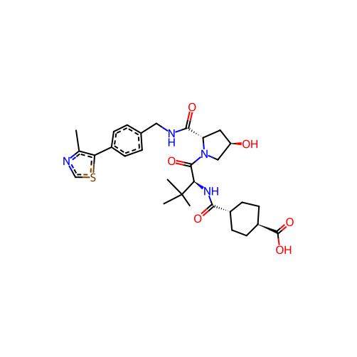 Cc1ncsc1-c1ccc(CNC(=O)[C@@H]2C[C@@H](O)CN2C(=O)[C@@H](NC(=O)[C@H]2CC[C@H](C(=O)O)CC2)C(C)(C)C)cc1